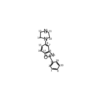 c1ccc(-c2nc3cc(N4CC[N]CC4)ccc3o2)cc1